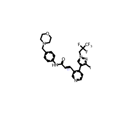 O=C(/C=C/c1cnccc1-c1cn(CC(F)(F)C(F)(F)F)nc1I)Nc1ccc(CN2CCOCC2)cc1